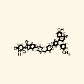 Cc1ccc([C@H]2CC(F)(F)c3cc(O)ccc3[C@H]2c2ccc(N3CCC(CN4CCN(c5ccc6c(c5)CN([C@H]5CCC(=O)NC5=O)C6=O)CC4)CC3)cc2)cc1